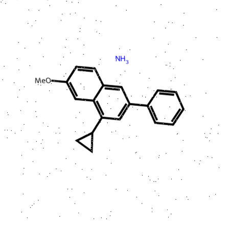 COc1ccc2cc(-c3ccccc3)cc(C3CC3)c2c1.N